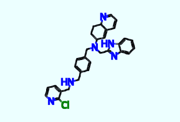 Clc1ncccc1CNCc1ccc(CN(Cc2nc3ccccc3[nH]2)C2C=C3C=CC=NC3CC2)cc1